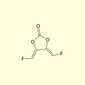 O=c1oc(=CF)c(=CF)o1